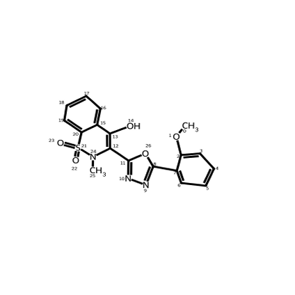 COc1ccccc1-c1nnc(C2=C(O)c3ccccc3S(=O)(=O)N2C)o1